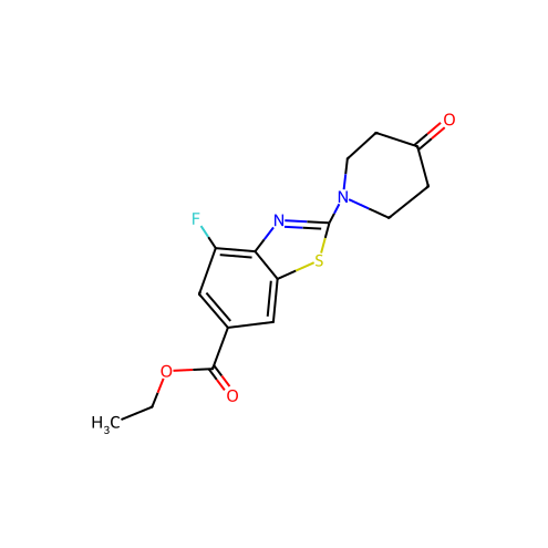 CCOC(=O)c1cc(F)c2nc(N3CCC(=O)CC3)sc2c1